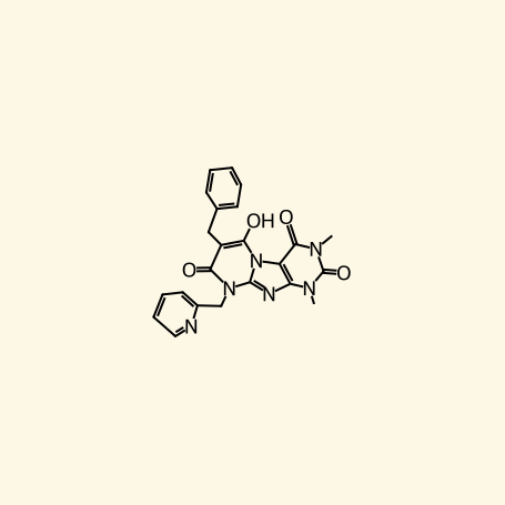 Cn1c(=O)c2c(nc3n(Cc4ccccn4)c(=O)c(Cc4ccccc4)c(O)n23)n(C)c1=O